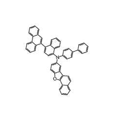 c1ccc(-c2ccc(N(c3ccc4oc5c6ccccc6ccc5c4c3)c3ccc(-c4cc5ccccc5c5ccccc45)c4ccccc34)cc2)cc1